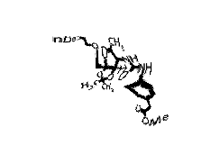 CCCCCCCCCCCCOC[C@@]12O[C@@H](C)C(NC(=O)Nc3ccc(CC(=O)OC)cc3)[C@H]1OC(C)(C)O2